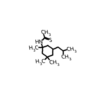 CC(=S)NC1(C)CC(CC(C)C)CC(C)(C)C1